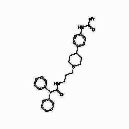 CCCC(=O)Nc1ccc(C2CCN(CCCNC(=O)C(c3ccccc3)c3ccccc3)CC2)cc1